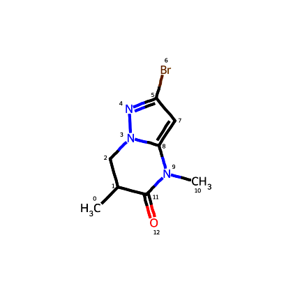 CC1Cn2nc(Br)cc2N(C)C1=O